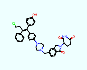 O=C1CCC(N2Cc3cc(CN4CCN(c5ccc(/C(=C(/CCCl)c6ccccc6)c6ccc(O)cc6)cc5)CC4)ccc3C2=O)C(=O)N1